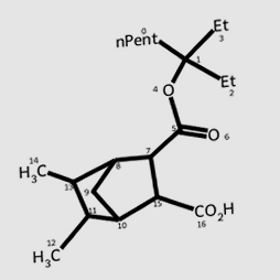 CCCCCC(CC)(CC)OC(=O)C1C2CC(C(C)C2C)C1C(=O)O